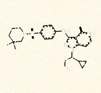 CC1(C)CCCN(S(=O)(=O)c2ccc(Nc3nn(C(CC#N)C4CC4)c4cc[nH]c(=O)c34)cc2)C1